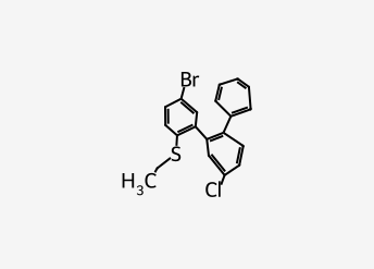 CCSc1ccc(Br)cc1-c1cc(Cl)ccc1-c1ccccc1